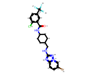 O=C(NC1CCC(CNc2nc3ccc(Br)cn3n2)CC1)c1cc(C(F)(F)F)ccc1Cl